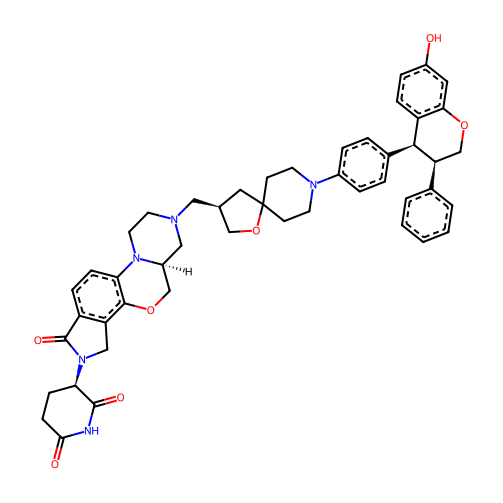 O=C1CC[C@@H](N2Cc3c(ccc4c3OC[C@@H]3CN(C[C@@H]5COC6(CCN(c7ccc([C@H]8c9ccc(O)cc9OC[C@H]8c8ccccc8)cc7)CC6)C5)CCN43)C2=O)C(=O)N1